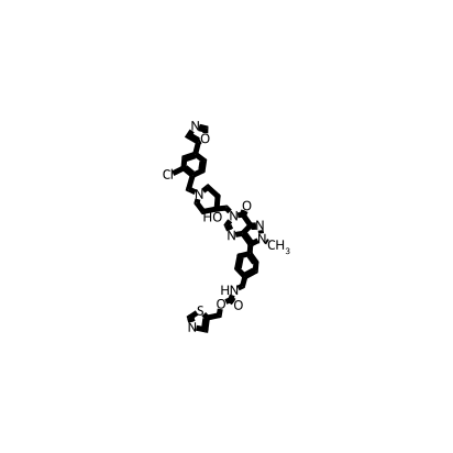 Cn1nc2c(=O)n(CC3(O)CCN(Cc4ccc(-c5cnco5)cc4Cl)CC3)cnc2c1-c1ccc(CNC(=O)OCc2cncs2)cc1